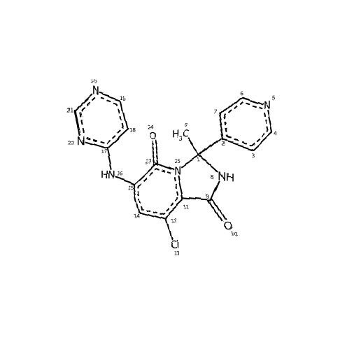 CC1(c2ccncc2)NC(=O)c2c(Cl)cc(Nc3ccncn3)c(=O)n21